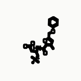 Cc1cc(COc2ccccc2)oc1C(=O)NC(CC(=O)[O-])C[N+](C)(C)C